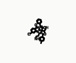 Cc1ccc(C(=O)N(CCCN)C(C(=O)O)(c2nc3cc(Cl)ccc3c(=O)n2Cc2ccccc2)C(C)C)cc1